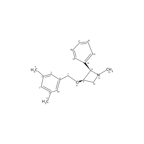 Cc1cc(C)cc(CO[C@@H]2CN(C)[C@@H]2c2ccccc2)c1